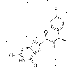 C[C@@H](NC(=O)c1cn2c(=O)[nH]c(Cl)cc2n1)c1ccc(F)cc1